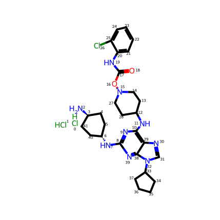 Cl.Cl.N[C@H]1CC[C@H](Nc2nc(NC3CCN(OC(=O)Nc4ccccc4Cl)CC3)c3ncn(C4CCCC4)c3n2)CC1